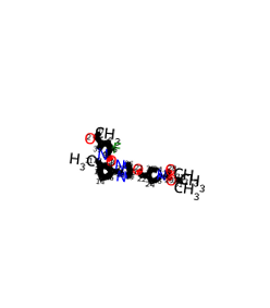 CC(=O)c1cc(F)c(=O)n(C(C)c2cccc(-c3ncc(OCC4CCN(C(=O)OC(C)(C)C)CC4)cn3)c2)c1